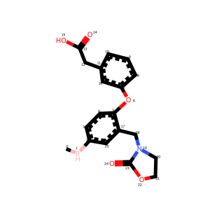 CBc1ccc(Oc2cccc(CC(=O)O)c2)c(CN2CCOC2=O)c1